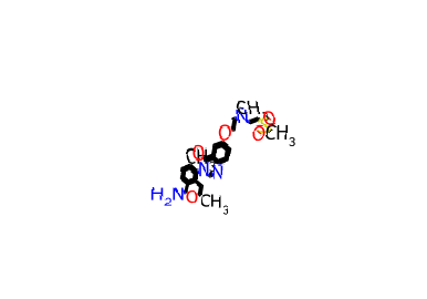 CCCc1c(C(N)=O)ccc(C)c1-n1cnc2ccc(OCCN(C)CCS(C)(=O)=O)cc2c1=O